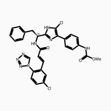 COC(=O)Nc1ccc(-c2nc([C@H](Cc3ccccc3)NC(=O)C=Cc3cc(Cl)ccc3-n3cnnn3)[nH]c2Cl)cc1